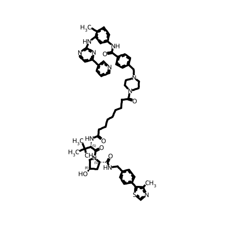 Cc1ccc(NC(=O)c2ccc(CN3CCN(C(=O)CCCCCCCC(=O)N[C@H](C(=O)N4C[C@H](O)C[C@H]4C(=O)NCc4ccc(-c5scnc5C)cc4)C(C)(C)C)CC3)cc2)cc1Nc1nccc(-c2cccnc2)n1